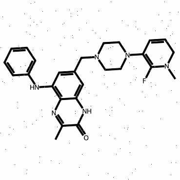 Cc1nc2c(Nc3ccccc3)cc(CN3CCN(C4=C(F)N(C)CC=C4)CC3)cc2[nH]c1=O